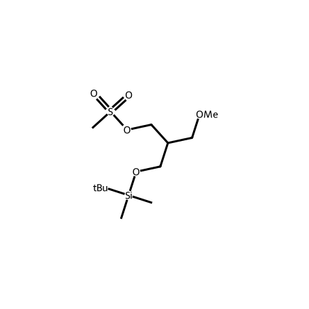 COCC(CO[Si](C)(C)C(C)(C)C)COS(C)(=O)=O